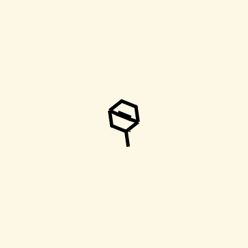 C[C]1CC2C=CC1CC2